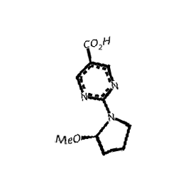 CO[C@@H]1CCCN1c1ncc(C(=O)O)cn1